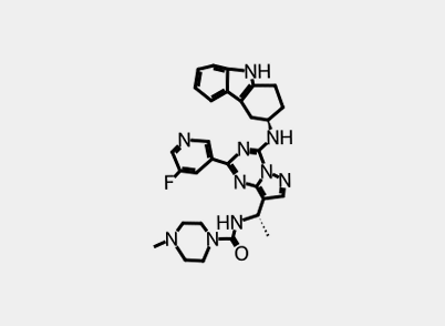 C[C@H](NC(=O)N1CCN(C)CC1)c1cnn2c(N[C@@H]3CCc4[nH]c5ccccc5c4C3)nc(-c3cncc(F)c3)nc12